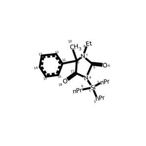 CCC[Si](CCC)(CCC)N1C(=O)N(CC)C(C)(c2ccccc2)C1=O